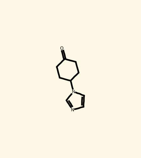 O=C1CCC(n2ccnc2)CC1